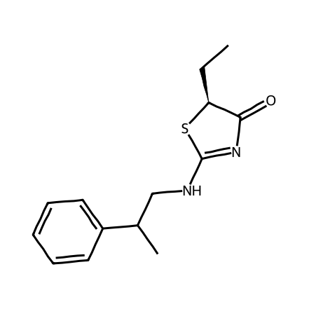 CC[C@@H]1SC(NCC(C)c2ccccc2)=NC1=O